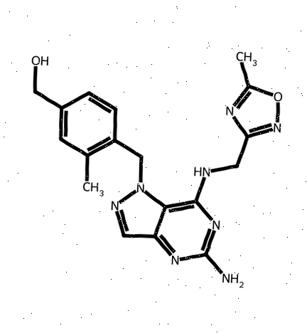 Cc1nc(CNc2nc(N)nc3cnn(Cc4ccc(CO)cc4C)c23)no1